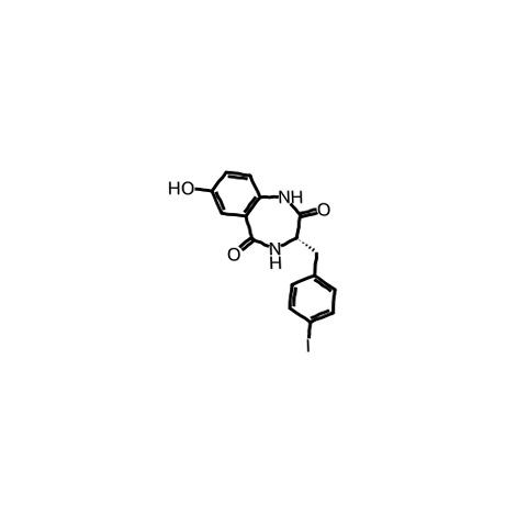 O=C1N[C@@H](Cc2ccc(I)cc2)C(=O)Nc2ccc(O)cc21